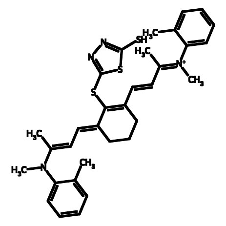 C/C(=C\C=C1/CCCC(/C=C/C(C)=[N+](\C)c2ccccc2C)=C1Sc1nnc(S)s1)N(C)c1ccccc1C